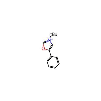 CC(C)(C)[n+]1coc(-c2ccccc2)c1